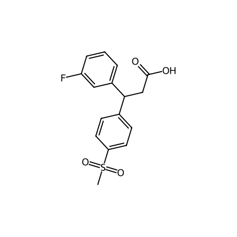 CS(=O)(=O)c1ccc(C(CC(=O)O)c2cccc(F)c2)cc1